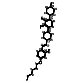 CCCCCCOc1ccc(/C=C/C2CCC(c3ccc(C4CCC(C)CC4)c(F)c3F)CC2)c(F)c1